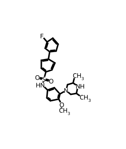 COc1ccc(NS(=O)(=O)c2ccc(-c3cccc(F)c3)cc2)cc1N1CC(C)NC(C)C1